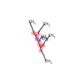 CCCCCCCCCCCC(=O)OCC(COC(=O)CCCCCCCCCCC)CC(=O)OCCN(CCOC(=O)CC(COC(=O)CCCCCCCCCCC)COC(=O)CCCCCCCCCCC)C(=O)NCCN(C)C